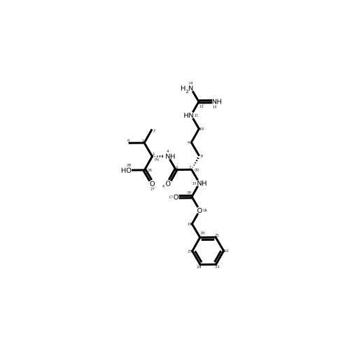 CC(C)[C@H](NC(=O)[C@H](CCCNC(=N)N)NC(=O)OCc1ccccc1)C(=O)O